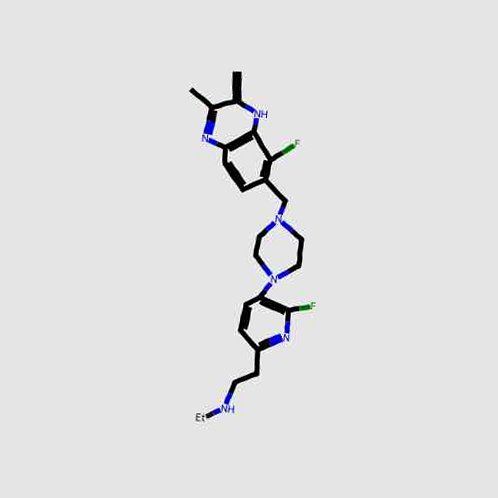 C=C1Nc2c(ccc(CN3CCN(c4ccc(CCNCC)nc4F)CC3)c2F)N=C1C